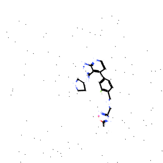 CC(C)(C)c1nc(CNCc2ccc(-c3ccnc4[nH]nc(N[C@@H]5CCNC5)c34)cc2F)no1